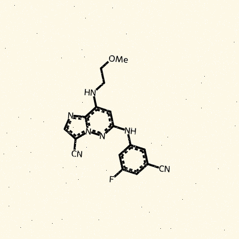 COCCNc1cc(Nc2cc(F)cc(C#N)c2)nn2c(C#N)cnc12